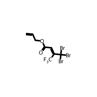 C=CCOC(=O)/C=C(\C(F)(F)F)C(Br)(Br)Br